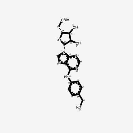 COC[C@H]1O[C@@H](n2cnc3c(Nc4ccc(CO)cc4)ncnc32)C(O)C1O